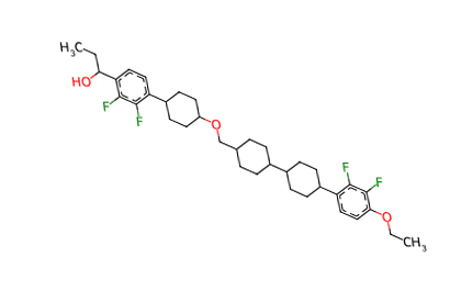 CCOc1ccc(C2CCC(C3CCC(COC4CCC(c5ccc(C(O)CC)c(F)c5F)CC4)CC3)CC2)c(F)c1F